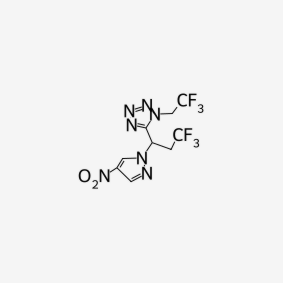 O=[N+]([O-])c1cnn(C(CC(F)(F)F)c2nnnn2CC(F)(F)F)c1